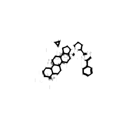 CC1([C@@H]2CC[C@]3(C(=O)N4CCCC4c4ncc(-c5ccccc5)[nH]4)CC[C@]4(C)[C@H](CC[C@@H]5[C@@]6(C)CC[C@H](O)C(C)(C)[C@@H]6CC[C@]54C)[C@@H]23)CC1